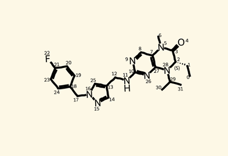 CC[C@H]1C(=O)N(C)c2cnc(NCc3cnn(Cc4ccc(F)cc4)c3)nc2N1C(C)C